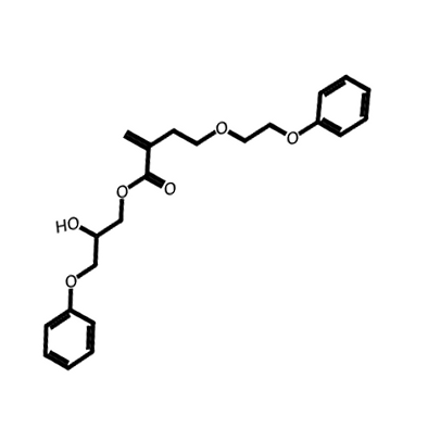 C=C(CCOCCOc1ccccc1)C(=O)OCC(O)COc1ccccc1